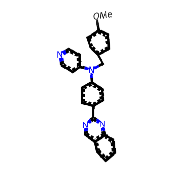 COc1ccc(CN(c2ccncc2)c2ccc(-c3ncc4ccccc4n3)cc2)cc1